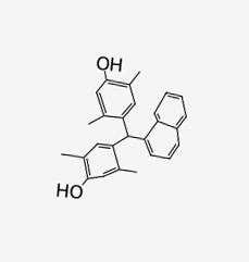 Cc1cc(C(c2cc(C)c(O)cc2C)c2cccc3ccccc23)c(C)cc1O